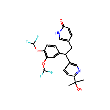 CC(C)(O)c1ccc(C(Cc2ccc(=O)[nH]c2)c2ccc(OC(F)F)c(OC(F)F)c2)cn1